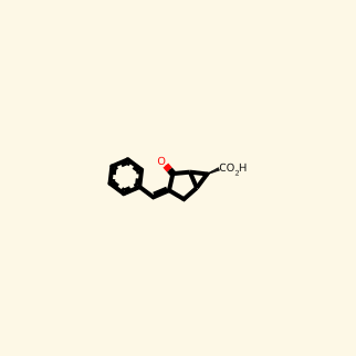 O=C1C(=Cc2ccccc2)CC2C1[C@H]2C(=O)O